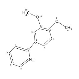 COc1ccc(-c2cc[c]cn2)cc1OC